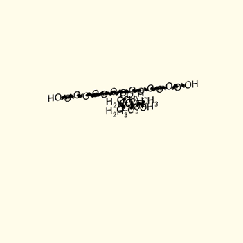 C=C(C)C(=O)O.C=C(C)C(=O)O.CC(O)COC(C)CO.OCCOCCOCCOCCOCCOCCOCCOCCOCCOCCOCCOCCOCCOCCO